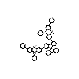 CC1(C)c2cc(-c3ccccc3)ccc2N(c2ccccc2)c2ccc(-c3ccc4c(c3)C3(c5ccccc5-c5ccccc53)c3cccc(-c5ccc6c(c5)C(C)(C)c5cc(-c7ccccc7)ccc5N6c5ccccc5)c3-4)cc21